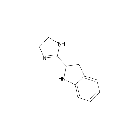 c1ccc2c(c1)CC(C1=NCCN1)N2